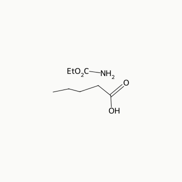 CCCCC(=O)O.CCOC(N)=O